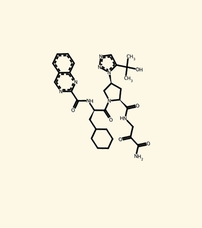 CC(C)(O)c1cnnn1[C@H]1C[C@@H](C(=O)NCC(=O)C(N)=O)N(C(=O)[C@@H](CC2CCCCC2)NC(=O)c2ncc3ccccc3n2)C1